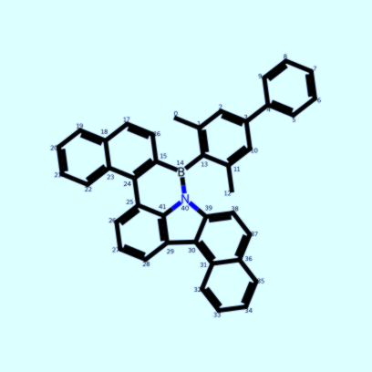 Cc1cc(-c2ccccc2)cc(C)c1B1c2ccc3ccccc3c2-c2cccc3c4c5ccccc5ccc4n1c23